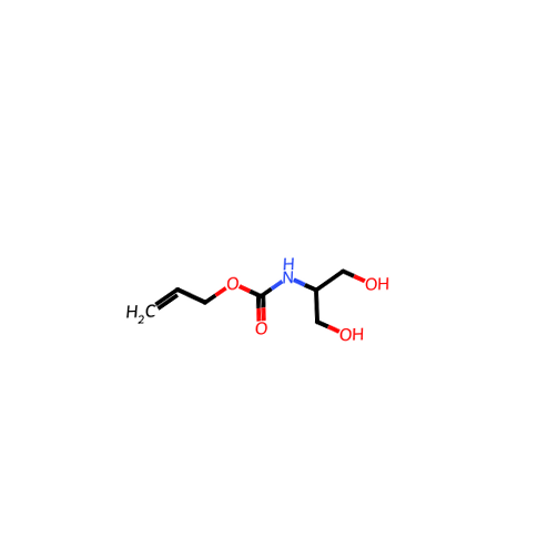 C=CCOC(=O)NC(CO)CO